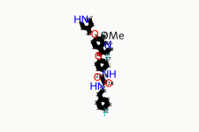 COc1c(OCC2CCNCC2)ccc2c(Oc3ccc(NC(=O)C(=O)NCCc4ccc(F)cc4)cc3F)ccnc12